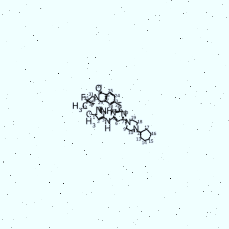 Cc1cc(Nc2cc(N3CCN(C4CCCCC4)CC3)nc(Sc3ccc4c(c3)CN(CC(C)(F)F)C4=O)n2)[nH]n1